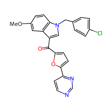 COc1ccc2c(c1)c(C(=O)c1ccc(-c3ccncn3)o1)cn2Cc1ccc(Cl)cc1